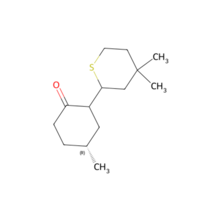 C[C@@H]1CCC(=O)C(C2CC(C)(C)CCS2)C1